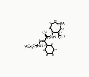 O=C(O)NCC(C(=O)NC1CCCNCC1O)C1CCCCC1